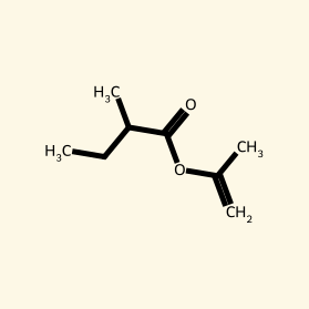 C=C(C)OC(=O)C(C)CC